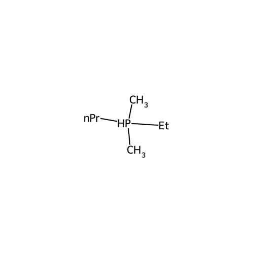 CCC[PH](C)(C)CC